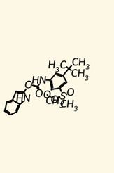 COc1c(NC(=O)Oc2cc3ccccc3[nH]2)cc(C(C)(C)C)cc1S(C)(=O)=O